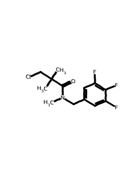 CN(Cc1cc(F)c(F)c(F)c1)C(=O)C(C)(C)CCl